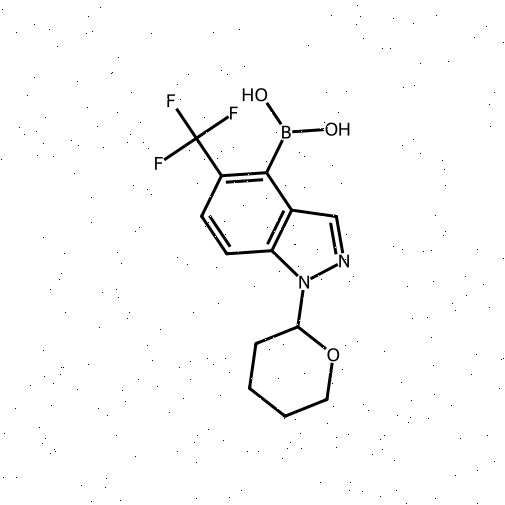 OB(O)c1c(C(F)(F)F)ccc2c1cnn2C1CCCCO1